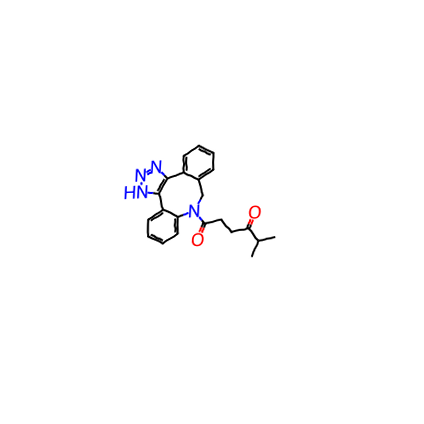 CC(C)C(=O)CCC(=O)N1Cc2ccccc2-c2nn[nH]c2-c2ccccc21